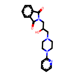 O=C1c2ccccc2C(=O)N1CC(O)CN1CCN(c2ccccn2)CC1